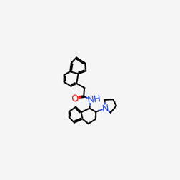 O=C(Cc1cccc2ccccc12)NC1c2ccccc2CCC1N1CCCC1